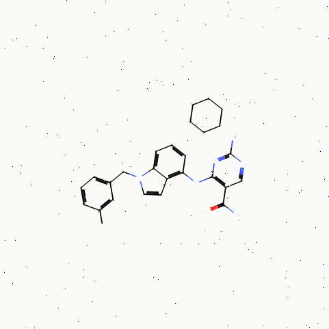 Cc1cccc(Cn2ccc3c(Nc4nc(N[C@@H]5CCCC[C@@H]5N)ncc4C(N)=O)cccc32)c1